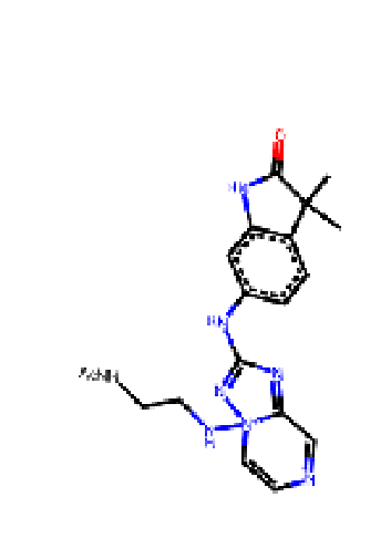 CC(=O)NCCN[N+]12C=CN=CC1=NC(Nc1ccc3c(c1)NC(=O)C3(C)C)=N2